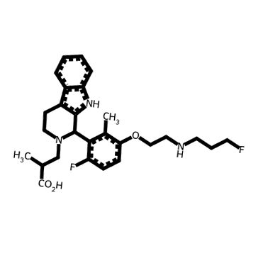 Cc1c(OCCNCCCF)ccc(F)c1C1c2[nH]c3ccccc3c2CCN1CC(C)C(=O)O